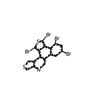 Brc1cc(Br)c2c(c1)c1cnc3cscc3c1c1c(Br)sc(Br)c21